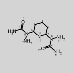 NC(=O)N(N)C1CCCC(N(N)C(N)=O)N1